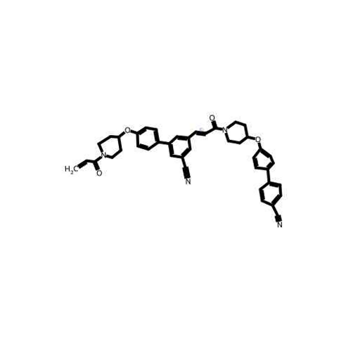 C=CC(=O)N1CCC(Oc2ccc(-c3cc(C#N)cc(/C=C/C(=O)N4CCC(Oc5ccc(-c6ccc(C#N)cc6)cc5)CC4)c3)cc2)CC1